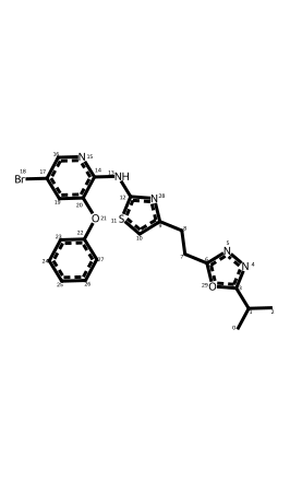 CC(C)c1nnc(CCc2csc(Nc3ncc(Br)cc3Oc3ccccc3)n2)o1